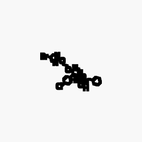 O=S(=O)(NCc1ccccc1)Nc1ncnc(OCCOc2ncc(Br)cn2)c1-c1ccc(Cl)cc1